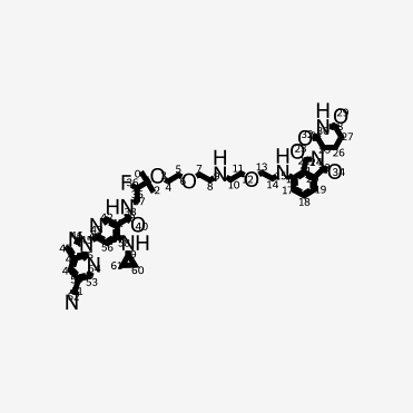 CC(C)(OCCOCCNCCOCCNc1cccc2c1C(=O)N(C1CCC(=O)NC1=O)C2=O)C(F)CNC(=O)c1cnc(-n2ncc3cc(C#N)cnc32)cc1NC1CC1